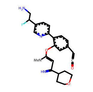 CN/C(=C\C(=N)C1CCOCC1)Oc1cc(C=C=O)ccc1-c1ccc(C(F)CN)cn1